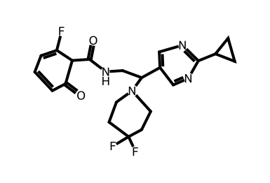 O=C1C=CC=C(F)C1C(=O)NCC(c1cnc(C2CC2)nc1)N1CCC(F)(F)CC1